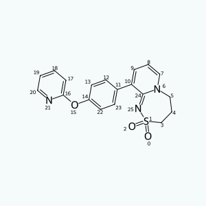 O=S1(=O)CCCN2C=CC=C(c3ccc(Oc4ccccn4)cc3)C2=N1